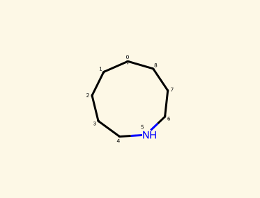 [CH]1CCCCNCCC1